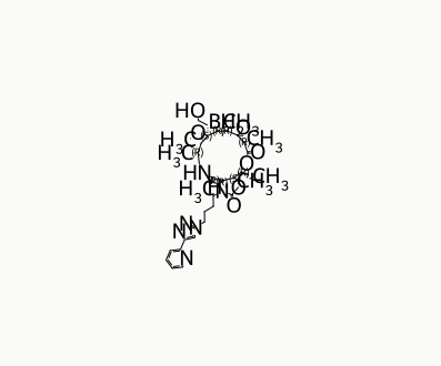 B[C@@H]1[C@@H](C)C(=O)[C@@H](C)C(=O)O[C@H](CC)[C@@]2(C)OC(=O)N(CCCCn3cc(-c4ccccn4)nn3)[C@@H]2[C@@H](C)NC[C@H](C)C[C@@]1(CCO)OC